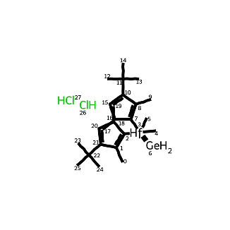 CC1=[C]([Hf]([CH3])([CH3])(=[GeH2])[C]2=C(C)C(C(C)(C)C)=CC2C)C(C)C=C1C(C)(C)C.Cl.Cl